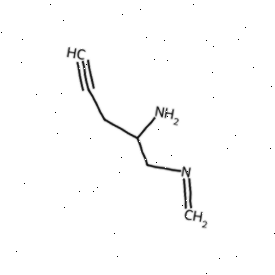 C#CCC(N)CN=C